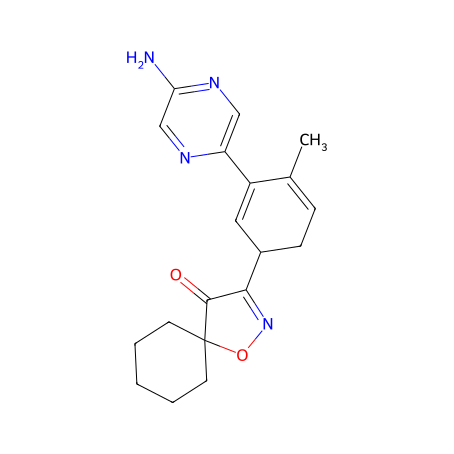 CC1=CCC(C2=NOC3(CCCCC3)C2=O)C=C1c1cnc(N)cn1